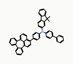 CC1(C)c2ccccc2-c2ccc(N(c3ccc(-c4ccccc4)cc3)c3ccc(-c4ccc5c6c(cccc46)-c4ccccc4-c4ccccc4-5)cc3)cc21